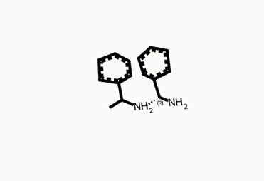 CC(N)c1ccccc1.C[C@@H](N)c1ccccc1